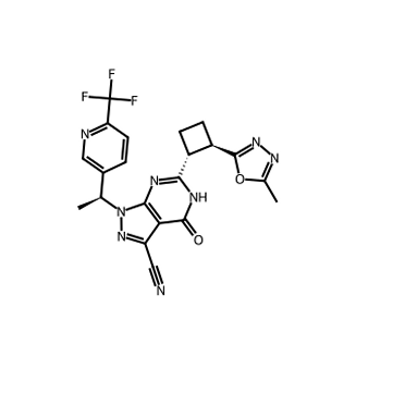 Cc1nnc([C@@H]2CC[C@H]2c2nc3c(c(C#N)nn3[C@@H](C)c3ccc(C(F)(F)F)nc3)c(=O)[nH]2)o1